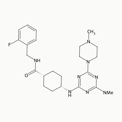 CNc1nc(N[C@H]2CC[C@@H](C(=O)NCc3ccccc3F)CC2)nc(N2CCN(C)CC2)n1